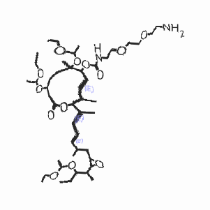 CCOC(C)OC1CCC(C)(OC(C)OCC)C(OC(=O)NCCOCCOCCN)/C=C/C(C)C(/C(C)=C/C=C/C(C)CC2OC2C(C)C(CC)OC(C)OCC)OC(=O)C1